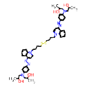 CC(O)CN(CC(C)O)c1ccc(/N=N/C2=CCN(CCCCSSCCCC[n+]3ccc(/N=N/c4ccc(N(CC(C)O)CC(C)O)cc4)c4ccccc43)c3ccccc32)cc1